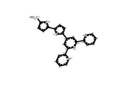 O=C(O)c1ccc(-c2ccc(-c3cc(-c4ccccn4)nc(-c4ccccn4)c3)s2)s1